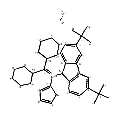 CC(C)(C)c1ccc2c(c1)-c1cc(C(C)(C)C)ccc1[CH]2[Zr+2]([C]1=CC=CC1)=[C](C1CCCCC1)C1CCCCC1.[Cl-].[Cl-]